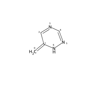 C=C1C=NC=NN1